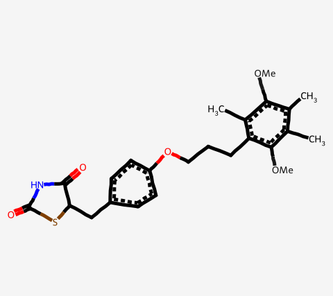 COc1c(C)c(C)c(OC)c(CCCOc2ccc(CC3SC(=O)NC3=O)cc2)c1C